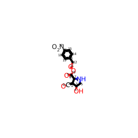 O=C=C1C(O)CNC1C(=O)OOCc1ccc([N+](=O)[O-])cc1